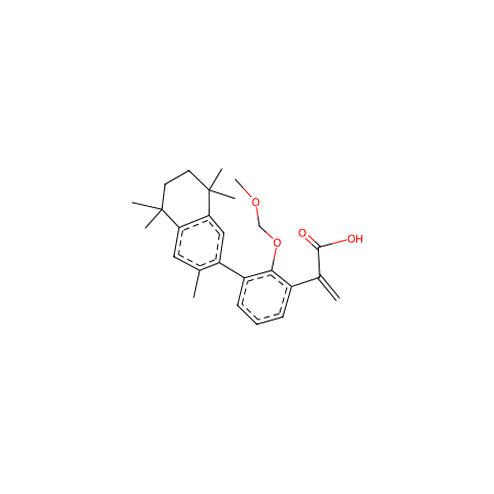 C=C(C(=O)O)c1cccc(-c2cc3c(cc2C)C(C)(C)CCC3(C)C)c1OCOC